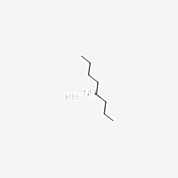 Br.CCCCCCCC.N